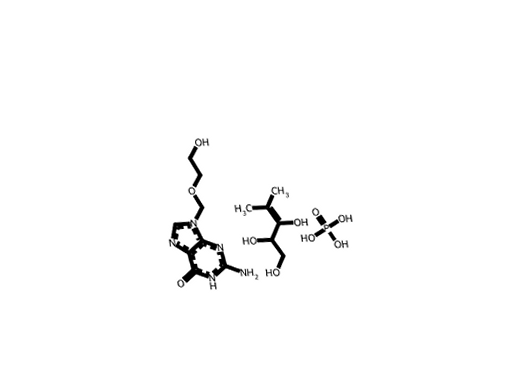 CC(C)=C(O)C(O)CO.Nc1nc2c(ncn2COCCO)c(=O)[nH]1.O=P(O)(O)O